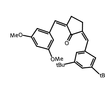 COc1cc(C=C2CCC(=Cc3cc(C(C)(C)C)cc(C(C)(C)C)c3)C2=O)cc(OC)c1